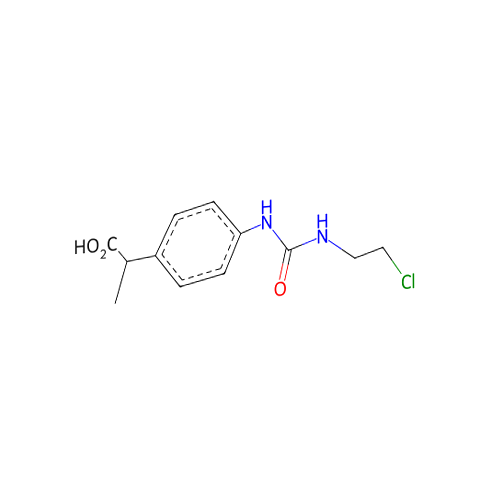 CC(C(=O)O)c1ccc(NC(=O)NCCCl)cc1